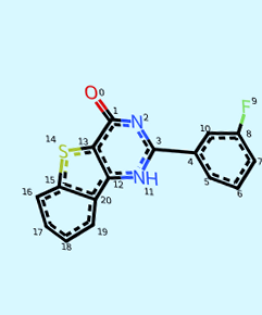 O=c1nc(-c2cccc(F)c2)[nH]c2c1sc1ccccc12